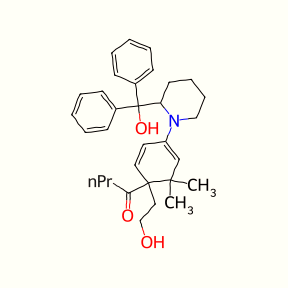 CCCC(=O)C1(CCO)C=CC(N2CCCCC2C(O)(c2ccccc2)c2ccccc2)=CC1(C)C